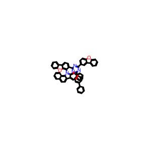 c1ccc(-c2ccc(-c3nc(-c4ccc5oc6ccccc6c5c4)nc(-c4ccc5c(oc6ccccc65)c4-n4c5cc6ccccc6cc5c5ccc6ccccc6c54)n3)cc2)cc1